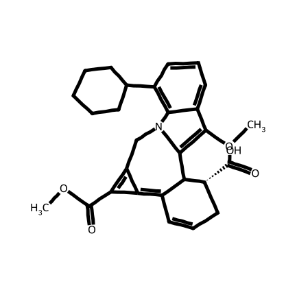 COC(=O)C1=C2Cn3c(c(OC)c4cccc(C5CCCCC5)c43)C3C(=C21)C=CC[C@H]3C(=O)O